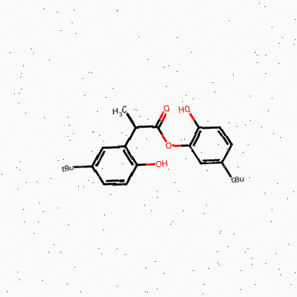 CC(C(=O)Oc1cc(C(C)(C)C)ccc1O)c1cc(C(C)(C)C)ccc1O